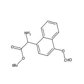 CC(C)(C)OC(=O)C(N)c1ccc(OC=O)c2ccccc12